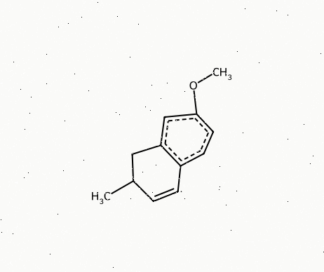 COc1ccc2c(c1)CC(C)C=[C]2